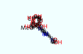 CC[C@H]1OC(=O)[C@H](C)[C@@H](O[C@H]2C[C@@](C)(OC)[C@@H](O)[C@H](C)O2)[C@H](C)[C@@H](O[C@@H]2O[C@H](C)C[C@H](N(C)Cc3ccc(C4CN(CCCCCCCn5cccc(O)c5=O)N=N4)cc3)[C@H]2O)[C@@]2(C)C[C@@H](CO2)C(=O)[C@H](C)[C@@H](O)[C@]1(C)O